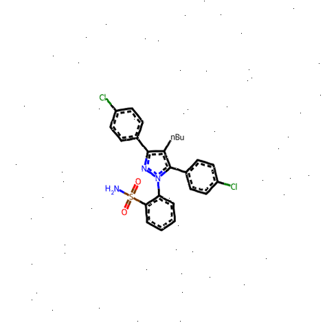 CCCCc1c(-c2ccc(Cl)cc2)nn(-c2ccccc2S(N)(=O)=O)c1-c1ccc(Cl)cc1